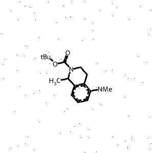 CNc1cccc2c1CCN(C(=O)OC(C)(C)C)C2C